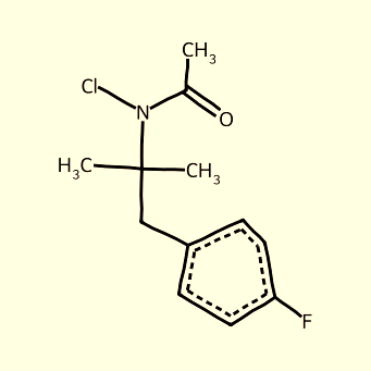 CC(=O)N(Cl)C(C)(C)Cc1ccc(F)cc1